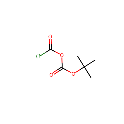 CC(C)(C)OC(=O)OC(=O)Cl